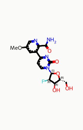 COc1cnc(C(N)=O)c(-c2ccn([C@H]3O[C@H](CO)[C@@H](O)[C@H]3F)c(=O)n2)c1